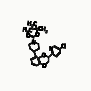 CC(C)(C)OC(=O)N1CCC(c2cccc3c2OC(c2ccc(Cl)cn2)CO3)CC1